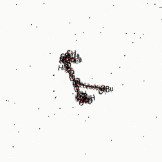 CC1=C(C)C2C(c3ccc(Cl)cc3)=N[C@@H](CC(=O)Nc3ccc(OCCOCCN(CCOCCNc4cccc5c4C(=O)N(C4CCC(=O)NC4=O)C5=O)C(=O)OCCCCCCCCCCCCCC(=O)OC(C)(C)C)cc3)c3nnc(C)n3C2S1